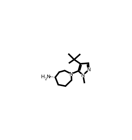 Cn1ncc(C(C)(C)C)c1N1CCC[C@H](N)CC1